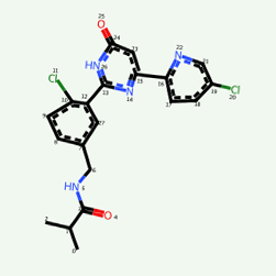 CC(C)C(=O)NCc1ccc(Cl)c(-c2nc(-c3ccc(Cl)cn3)cc(=O)[nH]2)c1